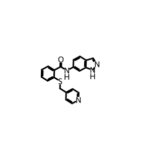 O=C(Nc1ccc2cn[nH]c2c1)c1ccccc1SCc1ccncc1